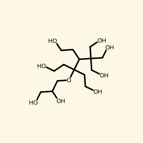 OCCC(C(CO)(CO)CO)C(CCO)(CCO)OCC(O)CO